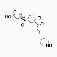 Cl.O=C(O)CN[PH](=O)C1CCCN(C(=O)CCCC2CCNCC2)C1